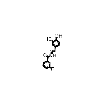 O=C(N/N=C/c1ccc(O)c(O)c1)c1cccc(F)c1